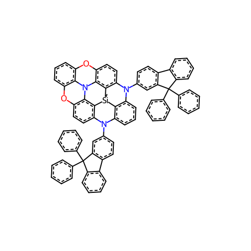 C[Si]12c3c4cccc3N(c3ccc5c(c3)C(c3ccccc3)(c3ccccc3)c3ccccc3-5)c3ccc5c(c31)N1c3c(cccc3O5)Oc3ccc(c2c31)N4c1ccc2c(c1)C(c1ccccc1)(c1ccccc1)c1ccccc1-2